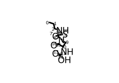 CCCNP(=S)(OC)N1C[C@H](NC(=O)O)C1=O